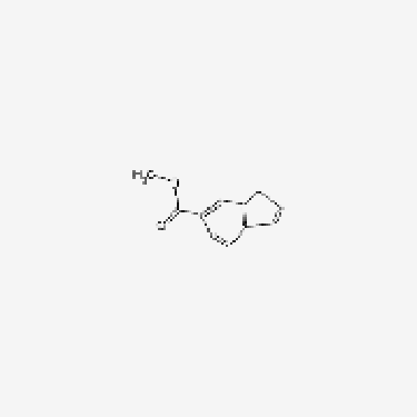 COC(=O)c1ccc2c(c1)CC=C2